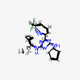 C[C@@H](Nc1nc(NC2CCCC2)nc(-c2cccc(C(F)(F)F)n2)n1)C1CC1